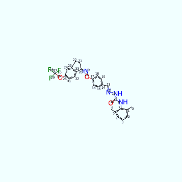 Cc1cccc(C)c1NC(=O)N/N=C/c1ccc(O/N=C2/CCc3cc(OC(F)(F)F)ccc32)cc1